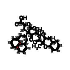 C[C@H](NC(=O)C1(C)Oc2cccnc2NC1=O)C(=O)[C@@](CCC(=O)O)(C(=O)O)N(Cc1ccccc1)Cc1ccccc1